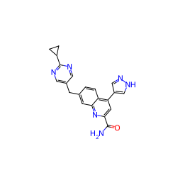 NC(=O)c1cc(-c2cn[nH]c2)c2ccc(Cc3cnc(C4CC4)nc3)cc2n1